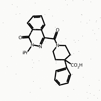 CC(C)n1nc(C(=O)N2CCC(C(=O)O)(c3ccccc3)CC2)c2ccccc2c1=O